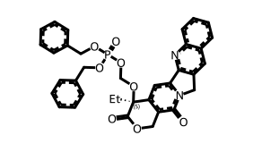 CC[C@@]1(OCOP(=O)(OCc2ccccc2)OCc2ccccc2)C(=O)OCc2c1cc1n(c2=O)Cc2cc3ccccc3nc2-1